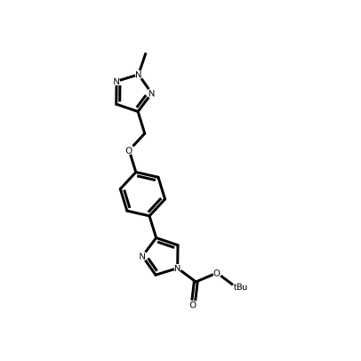 Cn1ncc(COc2ccc(-c3cn(C(=O)OC(C)(C)C)cn3)cc2)n1